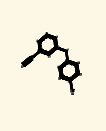 C#Cc1cccc(Cc2ccc(Br)cc2)c1